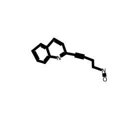 O=NCCC#Cc1ccc2ccccc2n1